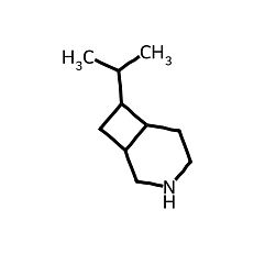 CC(C)C1CC2CNCCC21